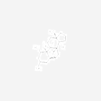 C[C@@]12CCC[C@H]1[C@@H]1CC=C3CC(O)CC(O)[C@]3(C)[C@H]1CC2